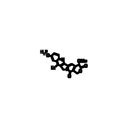 CCc1c2c(nc3ccc(OP)cc13)-c1cc3c(c(=O)n1C2)COC(=O)C3OC